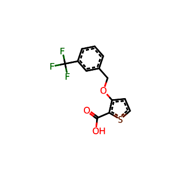 O=C(O)c1sccc1OCc1cccc(C(F)(F)F)c1